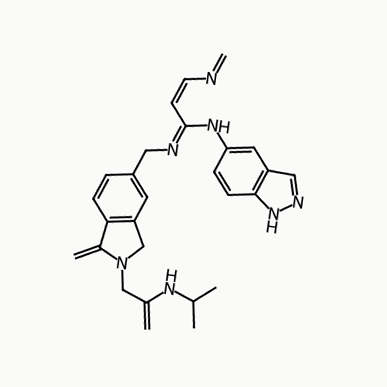 C=N/C=C\C(=N/Cc1ccc2c(c1)CN(CC(=C)NC(C)C)C2=C)Nc1ccc2[nH]ncc2c1